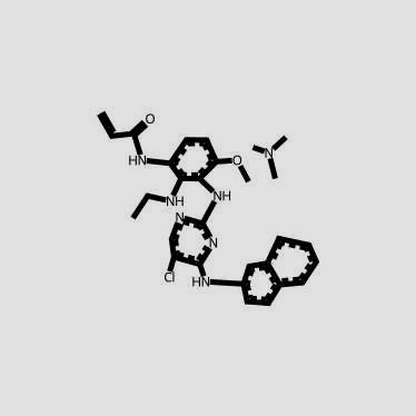 C=CC(=O)Nc1ccc(OC)c(Nc2ncc(Cl)c(Nc3ccc4ccccc4c3)n2)c1NCC.CN(C)C